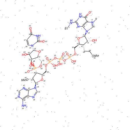 CCNc1nc2c(c(=O)[nH]1)[n+](C)cn2[C@@H]1O[C@H](COP(=O)(O)OP(=O)(O)OP(=O)(O)OC[C@H]2O[C@@H](n3cnc4c(N)ncnc43)[C@H](OC)[C@@H]2P(=O)([O-])OC[C@H]2O[C@@H](n3ccc(=O)[nH]c3=O)[C@H](O)[C@@H]2O)[C@@H](CCOC)[C@H]1O